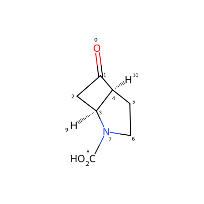 O=C1C[C@H]2[C@@H]1CCN2C(=O)O